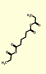 CCC(=O)OC(=O)CCCCC(=O)OC(=O)CC